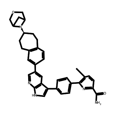 Cc1ccc(C(N)=O)nc1-c1ccc(-c2c[nH]c3ncc(-c4ccc5c(c4)CC[C@@H](N4C6COCC4C6)CC5)cc23)cc1